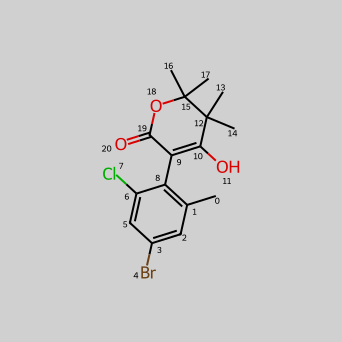 Cc1cc(Br)cc(Cl)c1C1=C(O)C(C)(C)C(C)(C)OC1=O